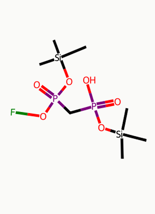 C[Si](C)(C)OP(=O)(O)CP(=O)(OF)O[Si](C)(C)C